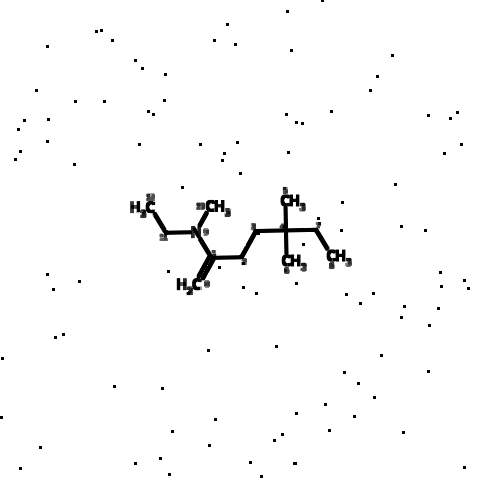 C=C(CCC(C)(C)CC)N(C)CC